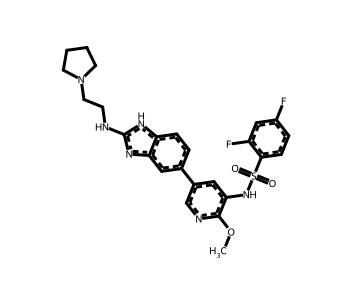 COc1ncc(-c2ccc3[nH]c(NCCN4CCCC4)nc3c2)cc1NS(=O)(=O)c1ccc(F)cc1F